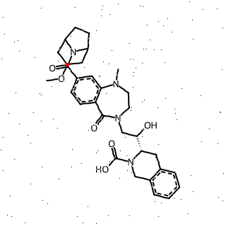 COC1CC2CCC(C1)N2C(=O)c1ccc2c(c1)N(C)CCN(CC(O)[C@@H]1Cc3ccccc3CN1C(=O)O)C2=O